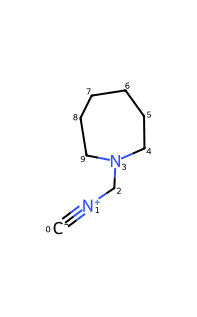 [C-]#[N+]CN1CCCCCC1